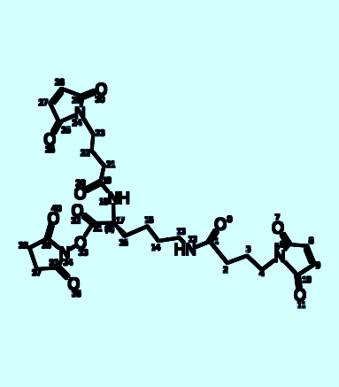 O=C(CCCN1C(=O)C=CC1=O)NCCCC[C@H](NC(=O)CCCN1C(=O)C=CC1=O)C(=O)ON1C(=O)CCC1=O